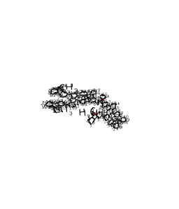 Cn1c2ccccc2c2cc(-c3cccc4c(-c5ccc6c(c5)C(c5ccccc5)(c5ccccc5)c5ccccc5-6)c5cccc(-c6ccc7c(c6)c6ccccc6n7Cc6ccc7c(c6)-c6ccc(-c8c9cccc(-c%10ccc%11c%12ccccc%12n(C)c%11c%10)c9cc9c(-c%10ccc%11c%12ccccc%12n(C)c%11c%10)cccc89)cc6C7(c6ccccc6)c6ccccc6)c5cc34)ccc21